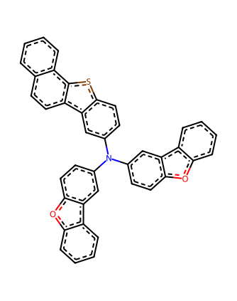 c1ccc2c(c1)ccc1c3cc(N(c4ccc5oc6ccccc6c5c4)c4ccc5oc6ccccc6c5c4)ccc3sc21